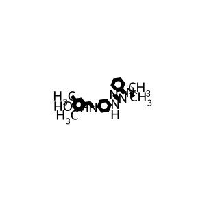 Cc1cc(CN[C@H]2CC[C@@H](Nc3nc4c(c(N(C)C)n3)CCCC4)CC2)cc(C)c1O